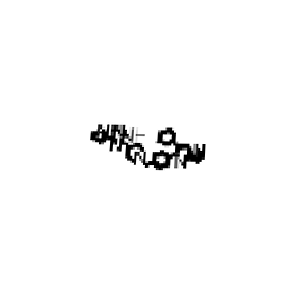 c1ccc(-c2cn3nccc3nc2-c2ccc(CN3CCC(c4nc(-c5ccc[nH]5)n[nH]4)CC3)cc2)cc1